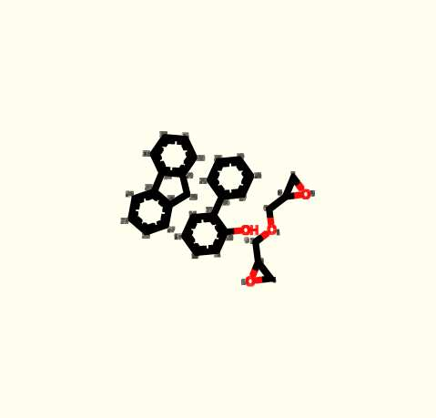 C(OCC1CO1)C1CO1.Oc1ccccc1-c1ccccc1.c1ccc2c(c1)Cc1ccccc1-2